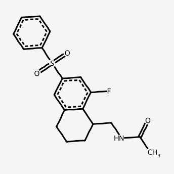 CC(=O)NCC1CCCc2cc(S(=O)(=O)c3ccccc3)cc(F)c21